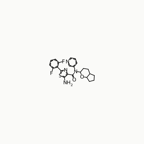 Nc1sc(-c2c(F)cccc2F)nc1C(=O)N(c1cccnc1)C1CCC2CCCC2O1